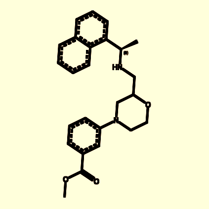 COC(=O)c1cccc(N2CCOC(CN[C@H](C)c3cccc4ccccc34)C2)c1